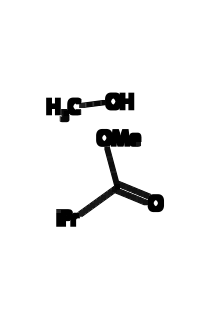 CO.COC(=O)C(C)C